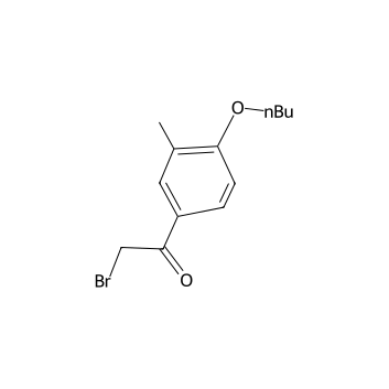 CCCCOc1ccc(C(=O)CBr)cc1C